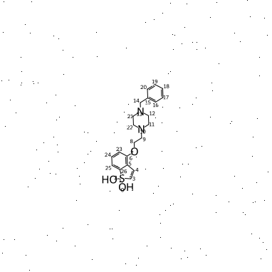 OS1(O)C=Cc2c(OCCN3CCN(Cc4ccccc4)CC3)cccc21